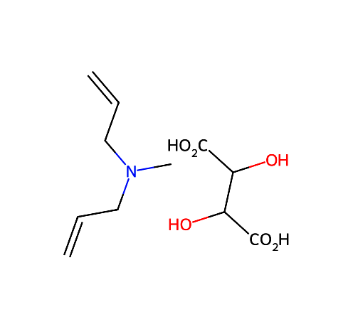 C=CCN(C)CC=C.O=C(O)C(O)C(O)C(=O)O